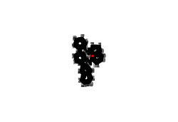 c1ccc(-n2c3ccccc3c3ccc4c5cc6ccccc6cc5n(-c5ccccc5)c4c32)cc1